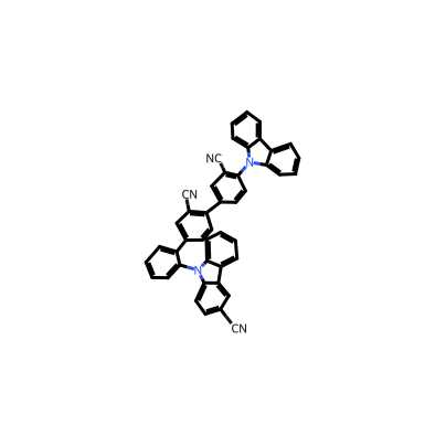 N#Cc1ccc2c(c1)c1ccccc1n2-c1ccccc1-c1ccc(-c2ccc(-n3c4ccccc4c4ccccc43)c(C#N)c2)c(C#N)c1